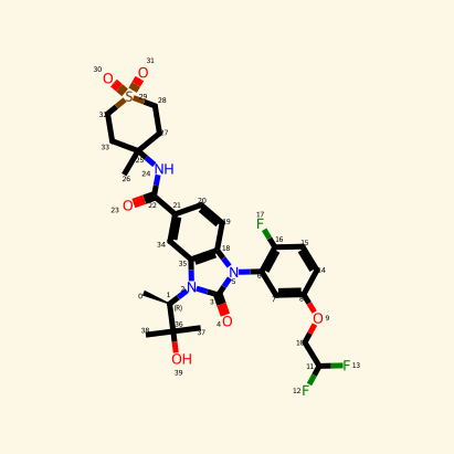 C[C@@H](n1c(=O)n(-c2cc(OCC(F)F)ccc2F)c2ccc(C(=O)NC3(C)CCS(=O)(=O)CC3)cc21)C(C)(C)O